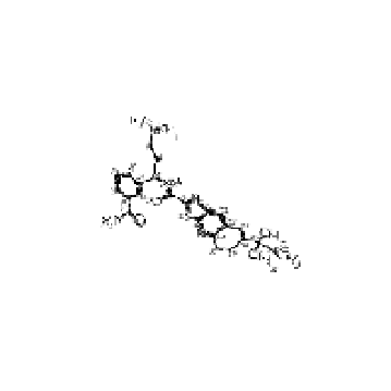 CN(C)CCC(NC(=O)c1nc2cc3c(nc2s1)CC[C@H](C(C)(C)C)C3)c1cccc(C(N)=O)c1